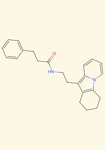 O=C(CCc1ccccc1)NCCc1c2c(n3ccccc13)CCCC2